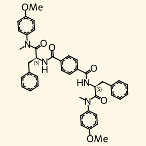 COc1ccc(N(C)C(=O)[C@H](Cc2ccccc2)NC(=O)c2ccc(C(=O)N[C@@H](Cc3ccccc3)C(=O)N(C)c3ccc(OC)cc3)cc2)cc1